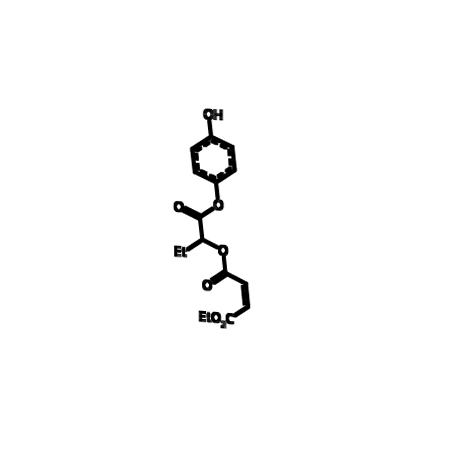 CCOC(=O)/C=C\C(=O)OC(CC)C(=O)Oc1ccc(O)cc1